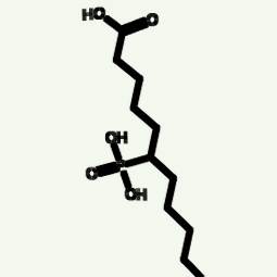 CCCCCC(CCCCC(=O)O)P(=O)(O)O